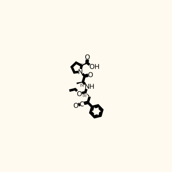 CCO[C@@H](CC(=C=O)c1ccccc1)N[C@@H](C)C(=O)N1CCC[C@H]1C(=O)O